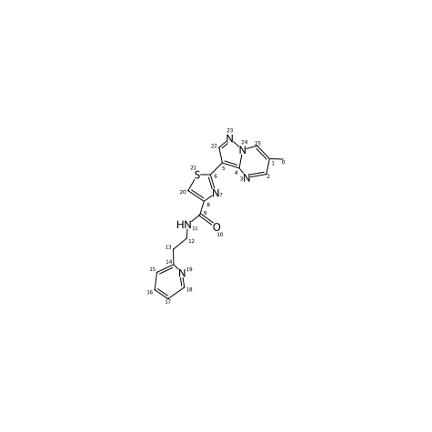 Cc1cnc2c(-c3nc(C(=O)NCCc4ccccn4)cs3)cnn2c1